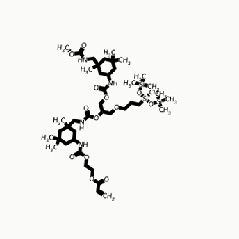 C=CC(=O)OCCOC(=O)NC1CC(C)(C)CC(C)(CNC(=O)OC(COCCC[Si](C)(O[Si](C)(C)C)O[Si](C)(C)C)COC(=O)NC2CC(C)(C)CC(C)(CNC(=O)OC)C2)C1